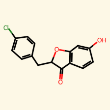 O=C1c2ccc(O)cc2OC1Cc1ccc(Cl)cc1